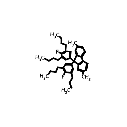 CCCCc1cc(C2(c3cc(CCCC)c(F)c(CCCC)c3)c3cc(C)ccc3-c3ccc(C)cc32)cc(CCCC)c1F